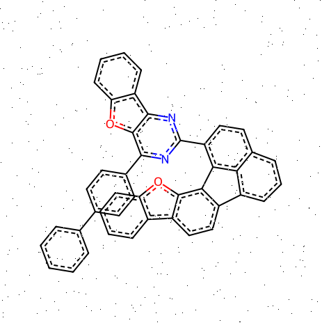 c1ccc(-c2ccc(-c3nc(-c4ccc5cccc6c5c4-c4c-6ccc5c4oc4ccccc45)nc4c3oc3ccccc34)cc2)cc1